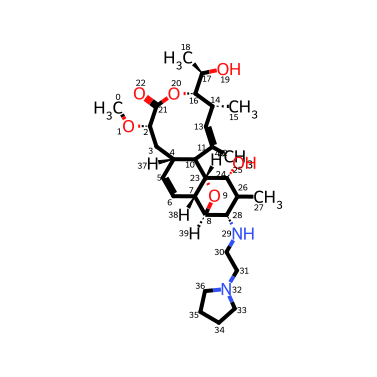 CO[C@H]1C[C@H]2C=C[C@H]3[C@H]4O[C@]2(/C(C)=C/[C@@H](C)[C@@H]([C@@H](C)O)OC1=O)[C@@H]3[C@H](O)C(C)[C@@H]4NCCN1CCCC1